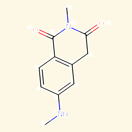 CNc1ccc2c(c1)CC(=O)N(C)C2=O